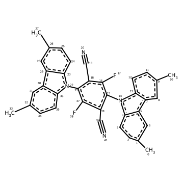 Cc1ccc2c(c1)c1cc(C)ccc1n2-c1c(F)c(C#N)c(-n2c3ccc(C)cc3c3cc(C)ccc32)c(F)c1C#N